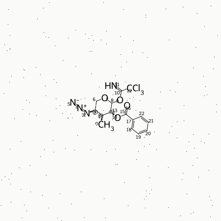 C[C@H]1[C@@H](N=[N+]=[N-])COC(OC(=N)C(Cl)(Cl)Cl)[C@H]1OC(=O)c1ccccc1